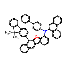 CC1(C)c2ccccc2-c2ccc(-c3c4ccccc4cc4c3oc3c(N(c5ccc(-c6ccccc6)cc5)c5cc6ccccc6c6ccccc56)cccc34)cc21